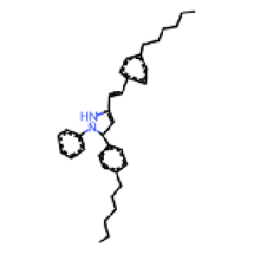 CCCCCCc1ccc(C=CC2=CC(c3ccc(CCCCCC)cc3)N(c3ccccc3)N2)cc1